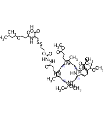 C=CC1=C(C)C2/C=C3\N/C(=C\C4=NC(=C\c5[nH]c(c(C)c5CCC(=O)NNC(=O)OCCSSC[C@@H](NC(=O)CCOCCC(C)C)C(=O)O)/C=C/1N2C)/C(CCC(=O)OC)=C4C)[C@]1(C)C3=CC=C(C(=O)OC)[C@@H]1C(=O)OC